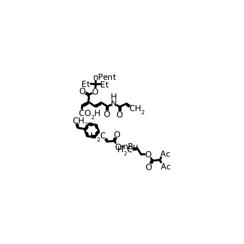 C=CC(=O)NC(=O)C=C/C(=C\C(=O)O)C(=O)OC(CC)(CC)CCCCC.C=CC(=O)OCCCC.C=CCOC(=O)C(C(C)=O)C(C)=O.C=Cc1ccccc1